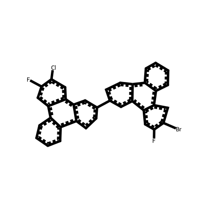 Fc1cc2c3ccccc3c3ccc(-c4ccc5c6ccccc6c6cc(Br)c(F)cc6c5c4)cc3c2cc1Cl